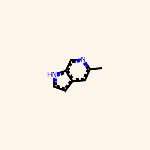 Cc1cc2[c]c[nH]c2cn1